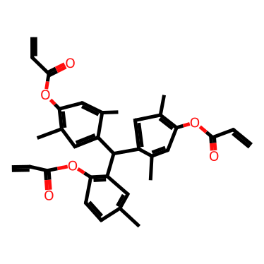 C=CC(=O)Oc1cc(C)c(C(c2cc(C)c(OC(=O)C=C)cc2C)c2cc(C)ccc2OC(=O)C=C)cc1C